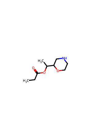 CCC(=O)OC(C)C1CNCCO1